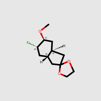 CO[C@H]1C[C@H]2CC3(C[C@@H]2C[C@@H]1F)OCCO3